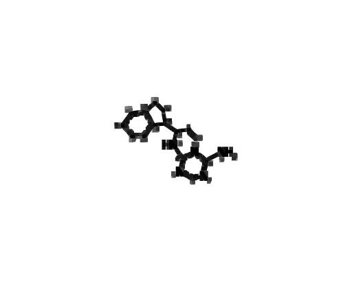 C=CC(Nc1ncnc(N)n1)C1CCc2ccccc21